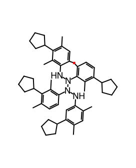 Cc1cc(C)c(C2CCCC2)cc1NN(c1ccc(C)c(C2CCCC2)c1C)N(Nc1c(C)cc(C)c(C2CCCC2)c1C)c1c(C)ccc(C2CCCC2)c1C